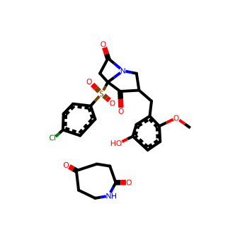 COc1ccc(O)cc1CC1CN2C(=O)CC2(S(=O)(=O)c2ccc(Cl)cc2)C1=O.O=C1CCNC(=O)CC1